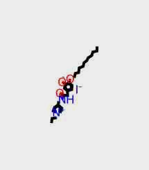 CCCCCCCCCCCCOc1ccc(CC(=O)NCc2cc[n+](CCC)cc2)cc1OC.[I-]